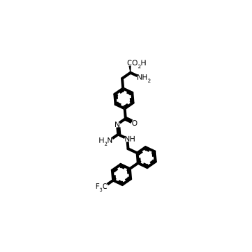 NC(=NC(=O)c1ccc(C[C@H](N)C(=O)O)cc1)NCc1ccccc1-c1ccc(C(F)(F)F)cc1